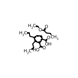 C=CCc1ccc(C(=O)O)c(C(=O)O)c1CC=C.C=COC(=O)CCC